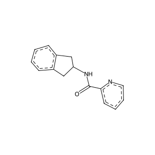 O=C(NC1Cc2ccccc2C1)c1ccccn1